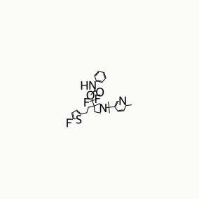 Cc1ccc(C(C)(C)N2CCC(CCc3ccc(F)s3)(C(F)(F)OC(=O)Nc3ccccc3)C2)cn1